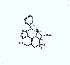 COC(c1ccccc1)n1nnnc1C1=C(COC(C)=O)CS(=O)(=O)[C@H]2[C@@H](OC)C(=O)N12